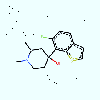 CC1CC(O)(c2c(F)ccc3ccsc23)CCN1C